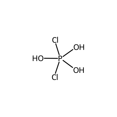 OP(O)(O)(Cl)Cl